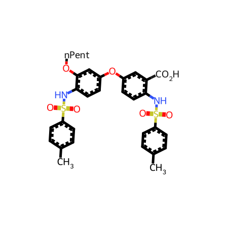 CCCCCOc1cc(Oc2ccc(NS(=O)(=O)c3ccc(C)cc3)c(C(=O)O)c2)ccc1NS(=O)(=O)c1ccc(C)cc1